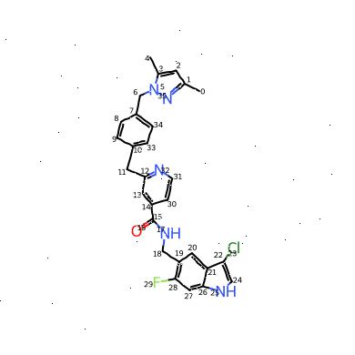 Cc1cc(C)n(Cc2ccc(Cc3cc(C(=O)NCc4cc5c(Cl)c[nH]c5cc4F)ccn3)cc2)n1